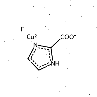 O=C([O-])c1ncc[nH]1.[Cu+2].[I-]